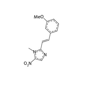 COc1cccc(C=Cc2ncc([N+](=O)[O-])n2C)c1